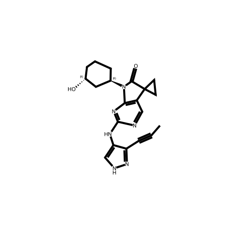 CC#Cc1n[nH]cc1Nc1ncc2c(n1)N([C@@H]1CCC[C@@H](O)C1)C(=O)C21CC1